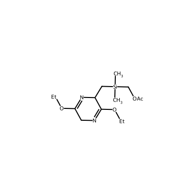 CCOC1=NC(C[Si](C)(C)COC(C)=O)C(OCC)=NC1